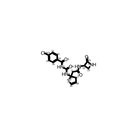 O=C(CC1(NC(=O)NC(=O)c2ccc(Cl)cc2)CC=CS1)NC1CNC1=O